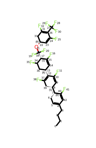 CCCCC1=CC[C@H]([C@H]2C=C(F)C([C@H]3C=C(F)[C@@H](C(F)(F)O[C@H]4C=C(F)C(C(F)(F)F)=C(F)C4)C(F)C3)=C(F)C2)C(F)=C1